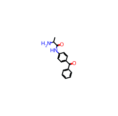 CC(N)C(=O)Nc1ccc(C(=O)c2ccccc2)cc1